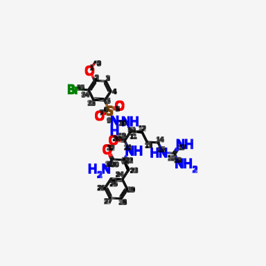 COc1ccc(S(=O)(=O)NN[C@@H](CCCNC(=N)N)C(=O)N[C@@H](Cc2ccccc2)C(N)=O)cc1Br